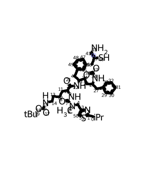 CC(C)c1nc(CN(C)C(=O)NC(CCCCNC(=O)OC(C)(C)C)C(=O)NC(CCC(Cc2ccccc2)NC(=O)OC/C(S)=C/N)Cc2ccccc2)cs1